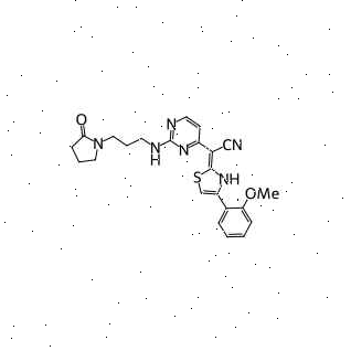 COc1ccccc1C1=CS/C(=C(/C#N)c2ccnc(NCCCN3CCCC3=O)n2)N1